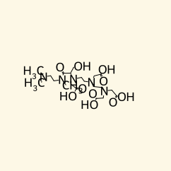 CN(C)CCN(C)C(=O)C(CO)N(CCN(CCN(CC(=O)O)CC(=O)O)CC(=O)O)CC(=O)O